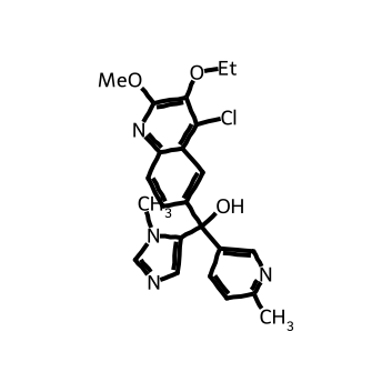 CCOc1c(OC)nc2ccc(C(O)(c3ccc(C)nc3)c3cncn3C)cc2c1Cl